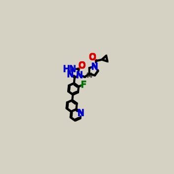 O=C(C1CC1)N1CC[C@@H](Cn2c(-c3ccc(-c4ccc5cccnc5c4)cc3F)n[nH]c2=O)C1